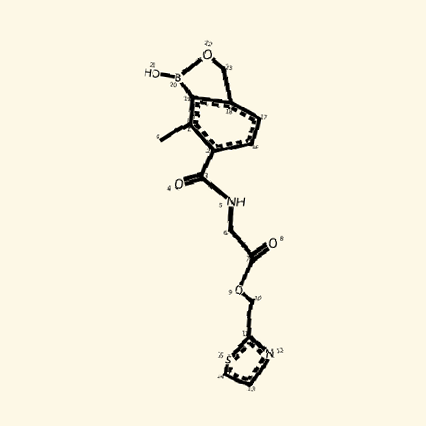 Cc1c(C(=O)NCC(=O)OCc2nccs2)ccc2c1B(O)OC2